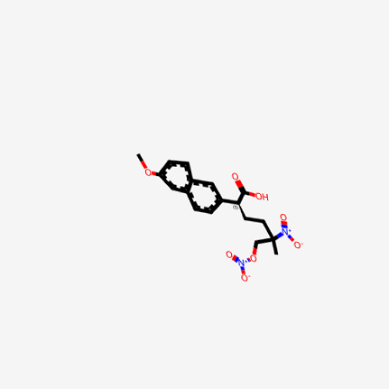 COc1ccc2cc([C@H](CCC(C)(CO[N+](=O)[O-])[N+](=O)[O-])C(=O)O)ccc2c1